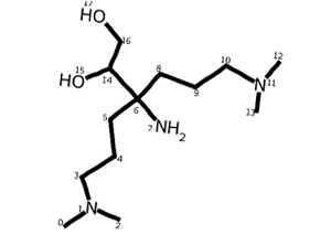 CN(C)CCCC(N)(CCCN(C)C)C(O)CO